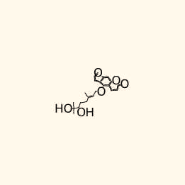 C/C(=C\COc1c2ccoc2cc2oc(=O)ccc12)CC[C@@H](O)C(C)(C)O